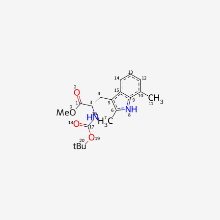 COC(=O)[C@H](Cc1c(C)[nH]c2c(C)cccc12)NC(=O)OC(C)(C)C